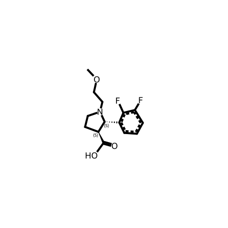 COCCN1CC[C@H](C(=O)O)[C@H]1c1cccc(F)c1F